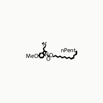 CCCCC/C=C\C/C=C\CCCCCCCCOC(=O)n1cc(CCN(C)C)c2cc(OC)ccc21